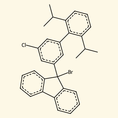 CC(C)c1cccc(C(C)C)c1-c1cc(Cl)cc(C2(Br)c3ccccc3-c3ccccc32)c1